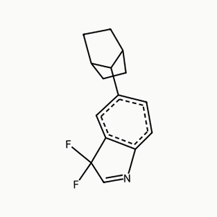 FC1(F)C=Nc2ccc(C3C4CCC3CC4)cc21